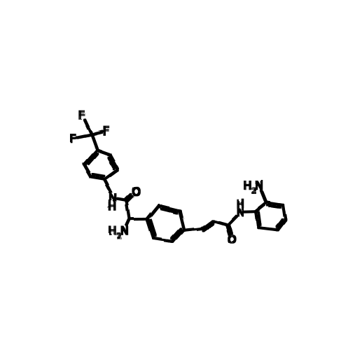 Nc1ccccc1NC(=O)C=Cc1ccc(C(N)C(=O)Nc2ccc(C(F)(F)F)cc2)cc1